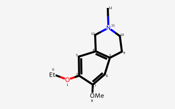 CCOc1cc2c(cc1OC)CCN(C)C2